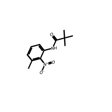 [CH2]c1cccc(NC(=O)C(C)(C)C)c1[N+](=O)[O-]